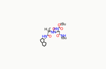 C[C@@H](CC(=O)NCc1cccc2ccccc12)NC(=O)C[C@H](CC(=O)NC(C)(C)C)NC(=O)OC(C)(C)C